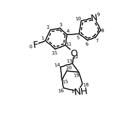 Fc1ccc(-c2cccnc2)c(OC2CC3CNCC2C3)c1